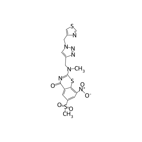 CN(Cc1cn(Cc2cscn2)nn1)c1nc(=O)c2cc(S(C)(=O)=O)cc([N+](=O)[O-])c2s1